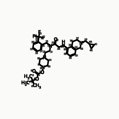 CC(C)(C)OC(=O)ON1CCN(CCN(Cc2ccccc2C(F)(F)F)C(=O)CNc2cccc3c2CCN(CC2CC2)C3)CC1